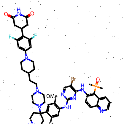 CCc1cc(Nc2ncc(Br)c(Nc3ccc4ncccc4c3P(C)(C)=O)n2)c(OC)cc1C1(N2CCN(CCC3CCN(c4cc(F)c(C5CC(=O)NC(=O)C5)c(F)c4)CC3)CC2)CCNCC1